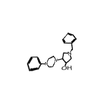 OC1CN(Cc2ccccc2)CC1N1CCN(c2ccccc2)CC1